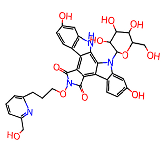 O=C1c2c(c3c4ccc(O)cc4n(C4OC(CO)C(O)C(O)C4O)c3c3[nH]c4cc(O)ccc4c23)C(=O)N1OCCCc1cccc(CO)n1